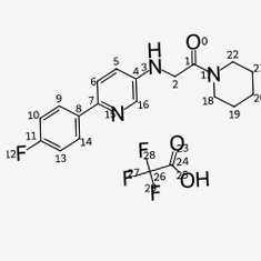 O=C(CNc1ccc(-c2ccc(F)cc2)nc1)N1CCCCC1.O=C(O)C(F)(F)F